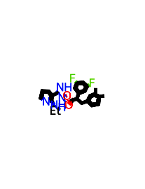 CCNc1ncccc1C(=N)NOC(=O)C(Cc1ccc(C)c(C)c1)c1cc(F)cc(F)c1